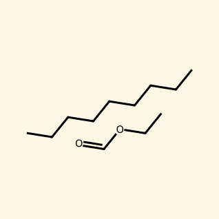 CCCCCCCCC.CCOC=O